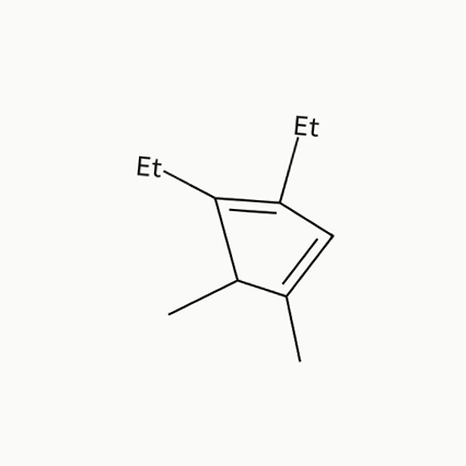 CCC1=C(CC)C(C)C(C)=C1